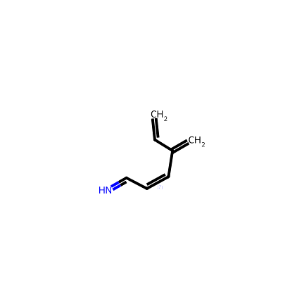 C=CC(=C)/C=C\C=N